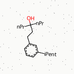 CCCC(C)c1cccc(CCC(O)(CCC)CCC)c1